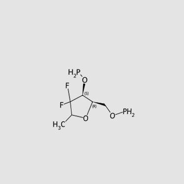 CC1O[C@H](COP)[C@H](OP)C1(F)F